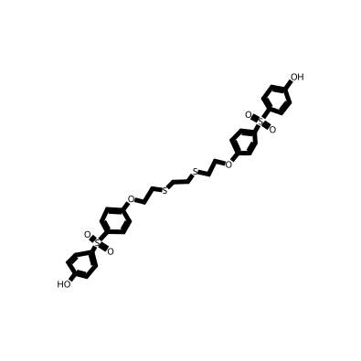 O=S(=O)(c1ccc(O)cc1)c1ccc(OCCSCCSCCOc2ccc(S(=O)(=O)c3ccc(O)cc3)cc2)cc1